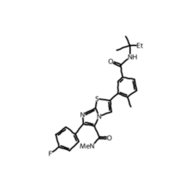 CCC(C)(C)NC(=O)c1ccc(C)c(-c2cn3c(C(=O)NC)c(-c4ccc(F)cc4)nc3s2)c1